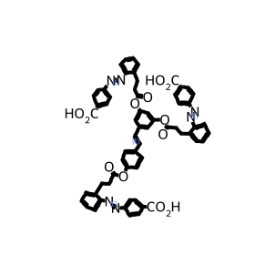 O=C(CCc1ccccc1/N=N/c1ccc(C(=O)O)cc1)Oc1ccc(/C=C/c2cc(OC(=O)CCc3ccccc3/N=N/c3ccc(C(=O)O)cc3)cc(OC(=O)CCc3ccccc3/N=N/c3ccc(C(=O)O)cc3)c2)cc1